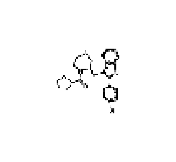 O=C(C1CCCC1)N1CCNCC1Cc1c(-c2ccc(Br)cc2)nc2ccccn12